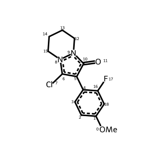 COc1ccc(-c2c(Cl)n3n(c2=O)CCCC3)c(F)c1